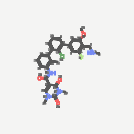 CNCc1c(F)cc(-c2cccc(-c3cccc(NC(=O)c4cn(C)c(=O)n(C)c4=O)c3C)c2Cl)cc1OC